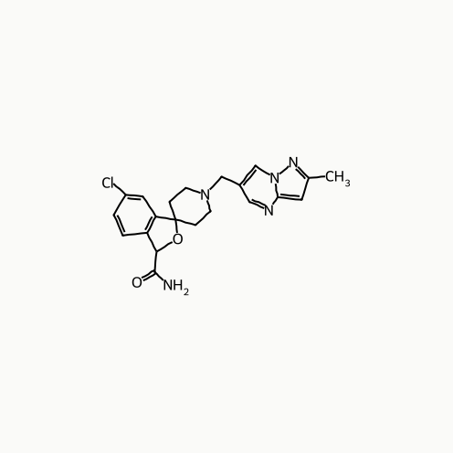 Cc1cc2ncc(CN3CCC4(CC3)OC(C(N)=O)c3ccc(Cl)cc34)cn2n1